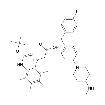 CNC1CCN(c2ccc(Cc3ccc(F)cc3)cc2)CC1.Cc1c(C)c(C)c(NC(=O)OC(C)(C)C)c(NCC(=O)O)c1C